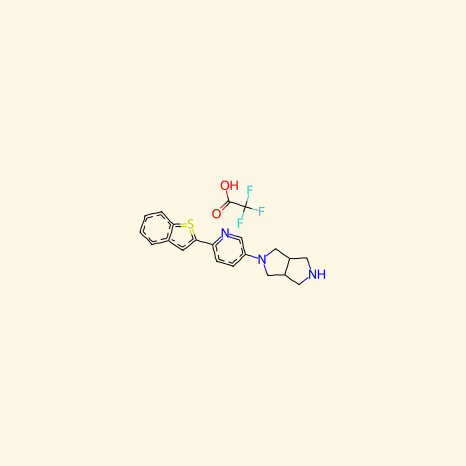 O=C(O)C(F)(F)F.c1ccc2sc(-c3ccc(N4CC5CNCC5C4)cn3)cc2c1